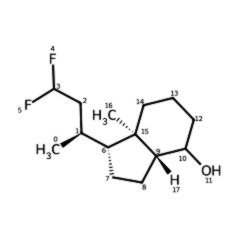 C[C@@H](CC(F)F)[C@H]1CC[C@H]2C(O)CCC[C@]12C